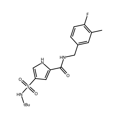 Cc1cc(CNC(=O)c2cc(S(=O)(=O)NC(C)(C)C)c[nH]2)ccc1F